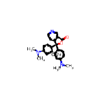 COc1cc(N(C)C)ccc1C1(c2ccc(N(C)C)cc2)OC(=O)c2cnccc21